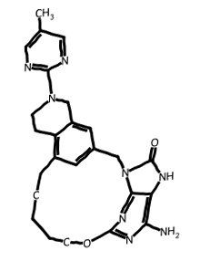 Cc1cnc(N2CCc3c4cc(cc3C2)Cn2c(=O)[nH]c3c(N)nc(nc32)OCCCCC4)nc1